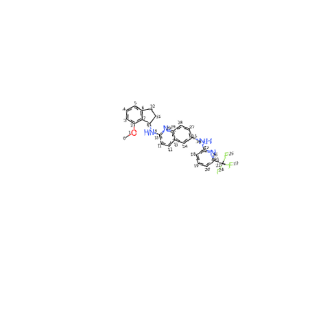 COc1cccc2c1C(Nc1ccc3cc(Nc4cccc(C(F)(F)F)n4)ccc3n1)CC2